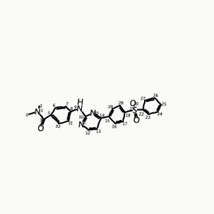 CN(C)C(=O)c1ccc(Nc2nccc(-c3ccc(S(=O)(=O)c4ccccc4)cc3)n2)cc1